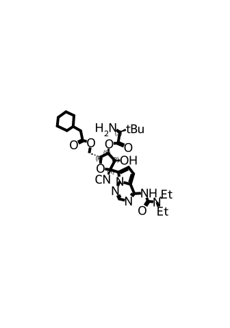 CCN(CC)C(=O)Nc1ncnn2c([C@]3(C#N)O[C@H](COC(=O)CC4CCCCC4)[C@@H](OC(=O)[C@@H](N)C(C)(C)C)[C@H]3O)ccc12